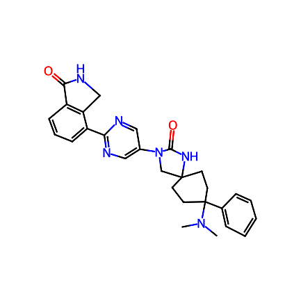 CN(C)C1(c2ccccc2)CCC2(CC1)CN(c1cnc(-c3cccc4c3CNC4=O)nc1)C(=O)N2